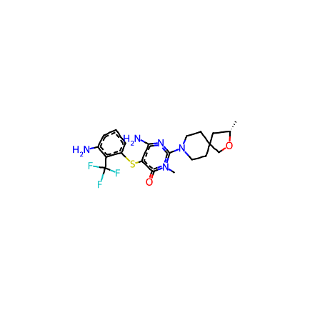 C[C@H]1CC2(CCN(c3nc(N)c(Sc4cccc(N)c4C(F)(F)F)c(=O)n3C)CC2)CO1